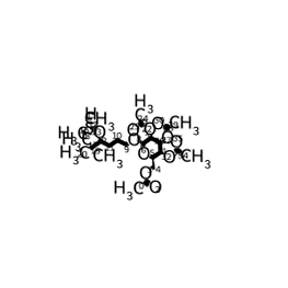 CC(=O)OC[C@H]1O[C@@H](OCCCC(O[SiH](C)C)C(C)(C)C)[C@H](OC(C)=O)[C@@H](OC(C)=O)[C@H]1OC(C)=O